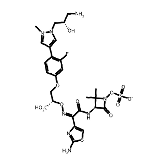 C[n+]1cc(-c2ccc(OC[C@H](O/N=C(\C(=O)N[C@@H]3C(=O)N(OS(=O)(=O)[O-])C3(C)C)c3csc(N)n3)C(=O)O)cc2F)cn1C[C@@H](O)CN